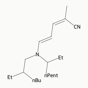 CCCCCC(CC)N(/C=C/C=C(/C)C#N)CC(CC)CCCC